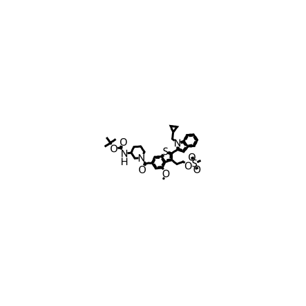 COc1cc(C(=O)N2CCCC(NC(=O)OC(C)(C)C)C2)cc2sc(-c3cc4ccccc4n3CC3CC3)c(CCOS(C)(=O)=O)c12